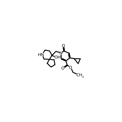 CCOC(=O)c1cn(CC2(O)CCNCC23CCCC3)c(=O)cc1C1CC1